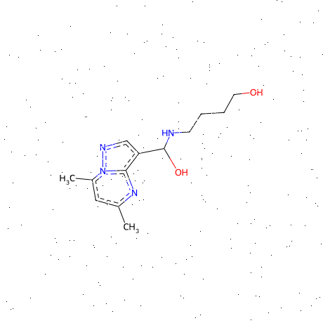 Cc1cc(C)n2ncc(C(O)NCCCCO)c2n1